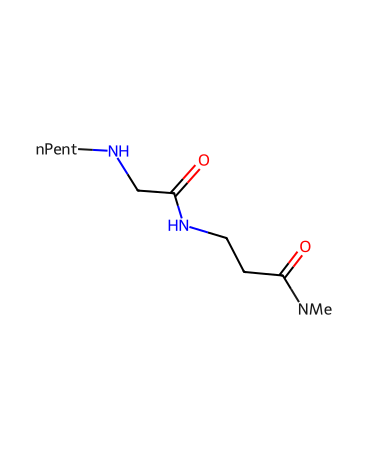 CCCCCNCC(=O)NCCC(=O)NC